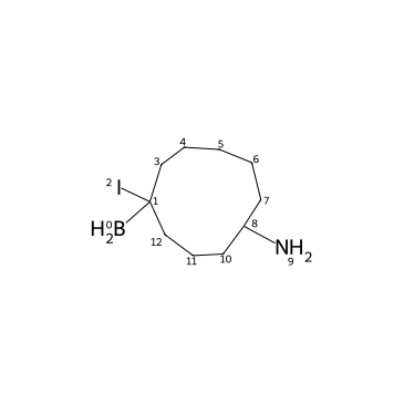 BC1(I)CCCCCC(N)CCC1